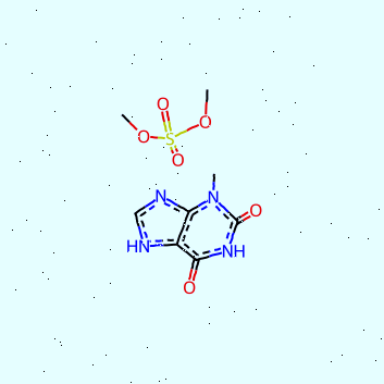 COS(=O)(=O)OC.Cn1c(=O)[nH]c(=O)c2[nH]cnc21